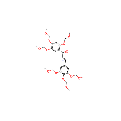 COCOc1cc(OCOC)c(C(=O)/C=C/c2cc(OCOC)c(OCOC)c(OCOC)c2)cc1OCOC